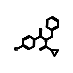 C=C(C1CC1)N(Cc1ccccc1)C(=O)c1ccc(Cl)cc1